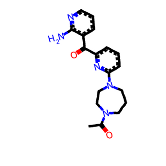 CC(=O)N1CCCN(c2cccc(C(=O)c3cccnc3N)n2)CC1